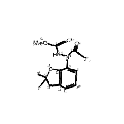 COC(=O)NN(C(=O)F)c1cccc2c1OC(C)(C)C2